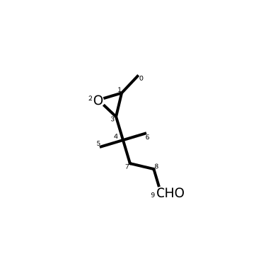 CC1OC1C(C)(C)CCC=O